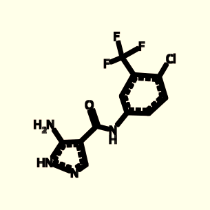 Nc1[nH]ncc1C(=O)Nc1ccc(Cl)c(C(F)(F)F)c1